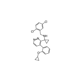 Clc1ccc(Cl)c(CNC2(c3nnccc3-c3ccccc3OC3CC3)CC2)c1